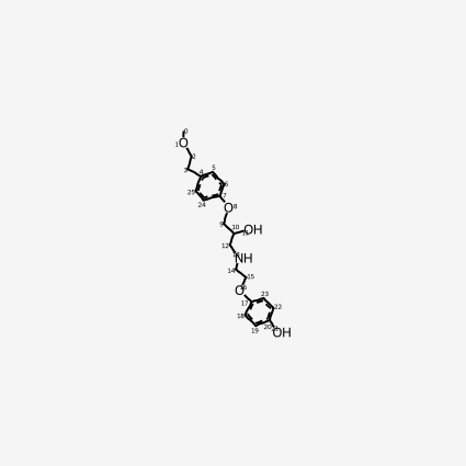 COCCc1ccc(OCC(O)CNCCOc2ccc(O)cc2)cc1